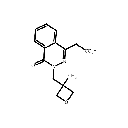 CC1(Cn2nc(CC(=O)O)c3ccccc3c2=O)COC1